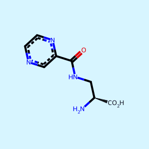 N[C@@H](CNC(=O)c1cnccn1)C(=O)O